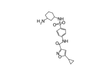 NC1CCCC(NS(=O)(=O)c2ccc(NC(=O)c3cc(C4CC4)on3)cc2)C1